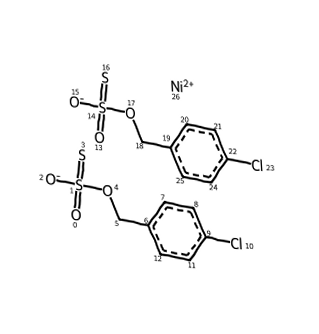 O=S([O-])(=S)OCc1ccc(Cl)cc1.O=S([O-])(=S)OCc1ccc(Cl)cc1.[Ni+2]